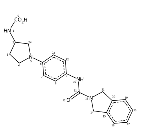 O=C(O)NC1CCN(c2ccc(NC(=O)N3Cc4ccccc4C3)cc2)C1